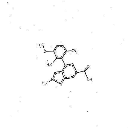 COc1ccc(C)c(-c2cc(C(=O)O)cc3nn(C)cc23)c1C